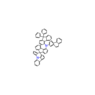 c1ccc(C2(c3ccccc3)c3ccccc3-c3c(N(c4ccc5c(ccc6ccccc65)c4)c4cccc5c4-c4ccccc4C54c5ccccc5-n5c6ccccc6c6cccc4c65)cccc32)cc1